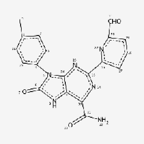 Cc1ccc(-n2c(=O)[nH]c3c(C(N)=O)nc(-c4cccc(C=O)n4)nc32)cc1